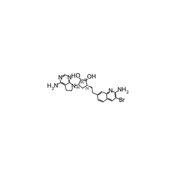 Nc1nc2cc(CC[C@H]3C[C@@H](N4CCc5c(N)ncnc54)[C@@H](O)[C@H]3O)ccc2cc1Br